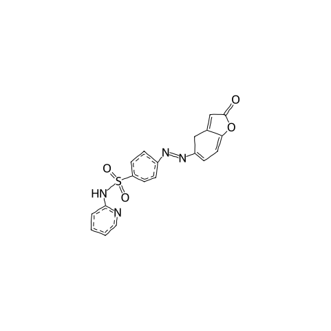 O=C1C=C2CC(N=Nc3ccc(S(=O)(=O)Nc4ccccn4)cc3)=CC=C2O1